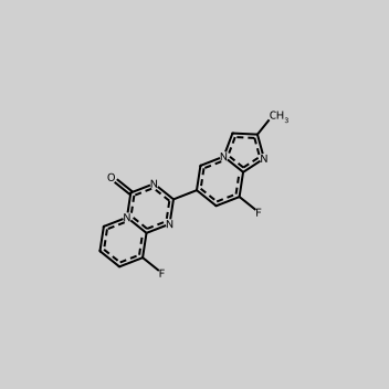 Cc1cn2cc(-c3nc(=O)n4cccc(F)c4n3)cc(F)c2n1